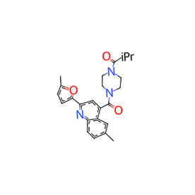 Cc1ccc2nc(-c3ccc(C)o3)cc(C(=O)N3CCN(C(=O)C(C)C)CC3)c2c1